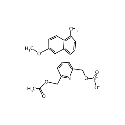 CC(=O)OCc1cccc(CO[N+](=O)[O-])n1.COc1ccc2c(C)cccc2c1